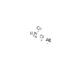 N.[Ag].[Cr].[Cu]